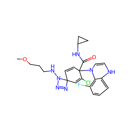 COCCCNN1N=NC12C=CC(C(=O)NC1CC1)(N1C=CNc3cccc(F)c31)C(Cl)=C2